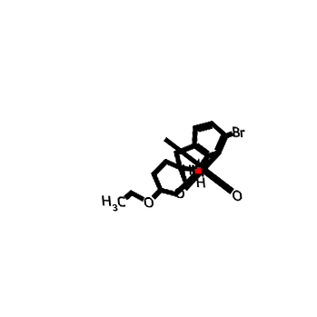 CCOC1CCC2(CC1)Cc1ccc(Br)cc1C21NC(=O)NC1=O